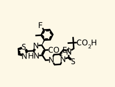 CCOC(=O)C1=C(CN2CCN3C(=S)N(CC(C)(C)C(=O)O)CC3C2)NC(c2nccs2)=N[C@H]1c1cccc(F)c1C